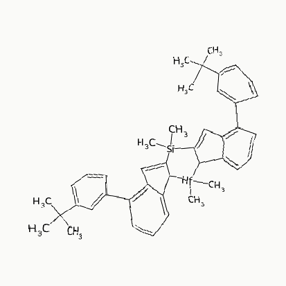 CC(C)(C)c1cccc(-c2cccc3c2C=C2[CH]3[Hf]([CH3])([CH3])[CH]3C(=Cc4c(-c5cccc(C(C)(C)C)c5)cccc43)[Si]2(C)C)c1